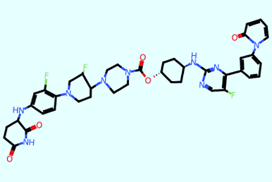 O=C1CCC(Nc2ccc(N3CCC(N4CCN(C(=O)O[C@H]5CC[C@H](Nc6ncc(F)c(-c7cccc(-n8ccccc8=O)c7)n6)CC5)CC4)C(F)C3)c(F)c2)C(=O)N1